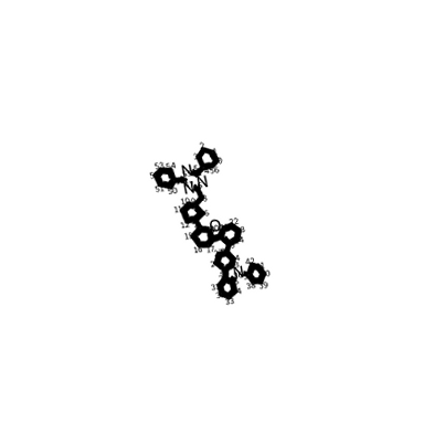 C1=CCCC(c2nc(Cc3cccc(-c4cccc5c4oc4cccc(-c6ccc7c8ccccc8n(-c8ccccc8)c7c6)c45)c3)nc(-c3ccccc3)n2)=C1